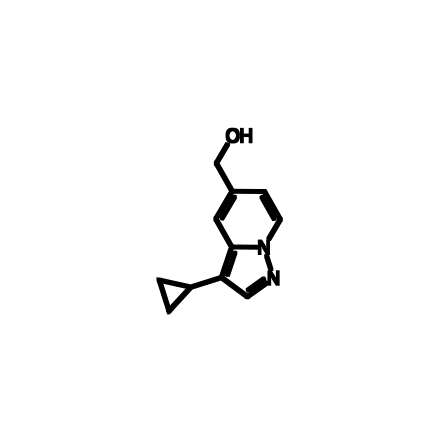 OCc1ccn2ncc(C3CC3)c2c1